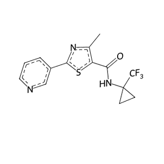 Cc1nc(-c2cccnc2)sc1C(=O)NC1(C(F)(F)F)CC1